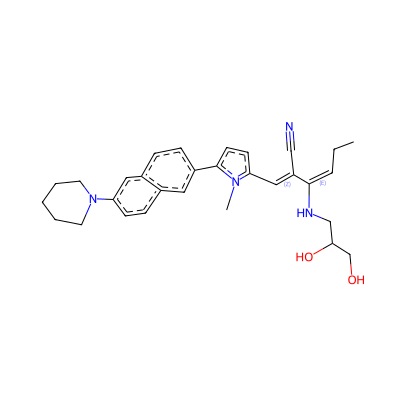 CC/C=C(NCC(O)CO)\C(C#N)=C\c1ccc(-c2ccc3cc(N4CCCCC4)ccc3c2)n1C